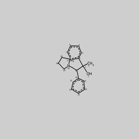 CC(O)(c1ccccn1)C(c1ccccc1)N1CCCC1